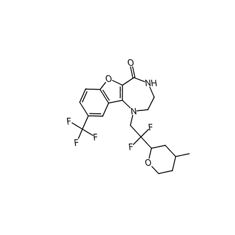 CC1CCOC(C(F)(F)CN2CCNC(=O)c3oc4ccc(C(F)(F)F)cc4c32)C1